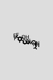 Cc1cc(C(F)(F)F)cc(O)c1-c1ccc2cn([C@H]3CCc4nnc(C(C)C)n4C3)nc2n1